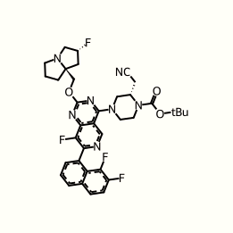 CC(C)(C)OC(=O)N1CCN(c2nc(OC[C@@]34CCCN3C[C@H](F)C4)nc3c(F)c(-c4cccc5ccc(F)c(F)c45)ncc23)C[C@@H]1CC#N